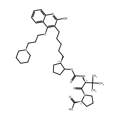 CC(C)(C)[C@H](NC(=O)OC1CCC[C@H]1CCCCCc1c(O)nc2ccccc2c1OCCCN1CCCCC1)C(=O)N1CCC[C@H]1C(=O)O